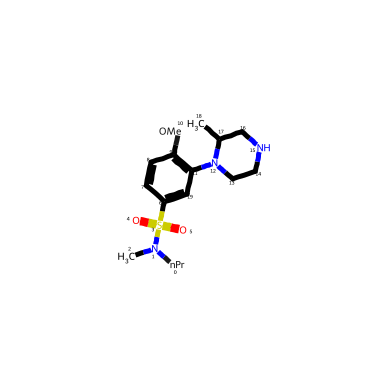 CCCN(C)S(=O)(=O)c1ccc(OC)c(N2CCNCC2C)c1